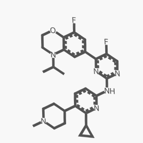 CC(C)N1CCOc2c(F)cc(-c3nc(Nc4ccc(C5CCN(C)CC5)c(C5CC5)n4)ncc3F)cc21